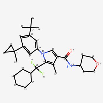 Cc1c(C(=O)NC2CCOCC2)cn(-c2cc(C(C)(C)C)cc(C3(C)CC3)c2)c1C(F)(F)C1CCCCC1